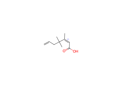 C=CCC(C)(C)/C(C)=C\C(=O)O